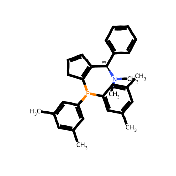 Cc1cc(C)cc(P(C2=C([C@@H](c3ccccc3)N(C)C)C=CC2)c2cc(C)cc(C)c2)c1